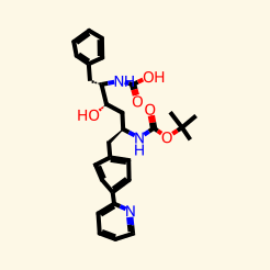 CC(C)(C)OC(=O)N[C@@H](Cc1ccc(-c2ccccn2)cc1)C[C@H](O)[C@H](Cc1ccccc1)NC(=O)O